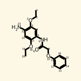 CCOc1cc(NC(=O)COc2ccccc2)c(OCC)cc1N